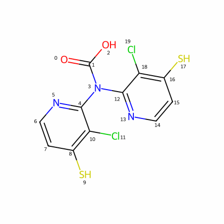 O=C(O)N(c1nccc(S)c1Cl)c1nccc(S)c1Cl